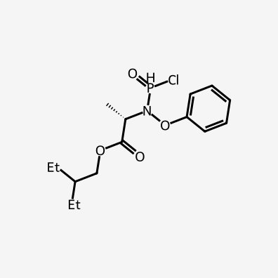 CCC(CC)COC(=O)[C@H](C)N(Oc1ccccc1)[PH](=O)Cl